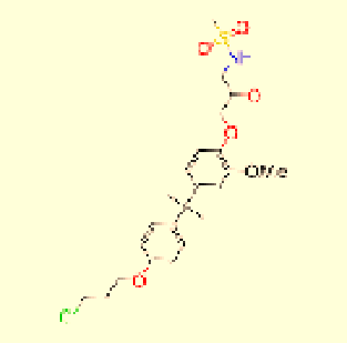 COc1cc(C(C)(C)c2ccc(OCCCCl)cc2)ccc1OCC(=O)CNS(C)(=O)=O